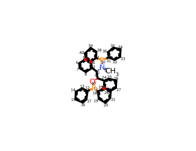 CN([C@@H](c1ccccc1)[C@H](OP(c1ccccc1)c1ccccc1)c1ccccc1)P(c1ccccc1)c1ccccc1